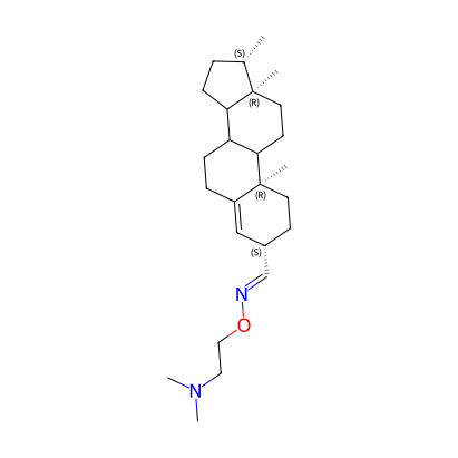 C[C@H]1CCC2C3CCC4=C[C@@H](C=NOCCN(C)C)CC[C@]4(C)C3CC[C@@]21C